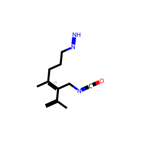 C=C(C)/C(CN=C=O)=C(\C)CCCN=N